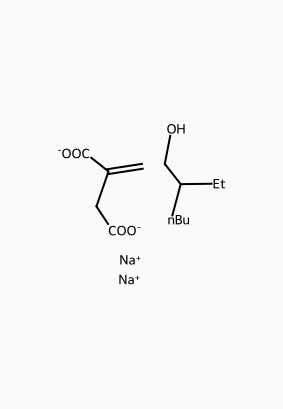 C=C(CC(=O)[O-])C(=O)[O-].CCCCC(CC)CO.[Na+].[Na+]